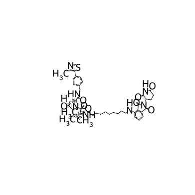 Cc1ncsc1-c1ccc(CNC(=O)[C@@H]2C[C@@H](O)CN2C(=O)[C@@H](NC(=O)CCCCCCCCCNc2cccc3c2C(=O)N(C2CCC(=O)NC2=O)C3=O)C(C)(C)C)cc1